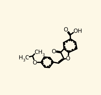 CC(C)Oc1ccc(C=C2Oc3ccc(C(=O)O)cc3C2=O)cc1